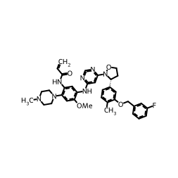 C=CC(=O)Nc1cc(Nc2cc(N3OCC[C@@H]3c3ccc(C)c(OCc4cccc(F)c4)c3)ncn2)c(OC)cc1N1CCN(C)CC1